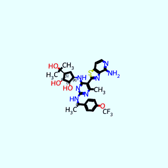 Cc1nc(N[C@H](C)c2ccc(OC(F)(F)F)cc2)nc(N[C@@H]2C[C@H](C(C)(C)O)[C@@H](O)[C@H]2O)c1-c1nc2c(N)nccc2s1